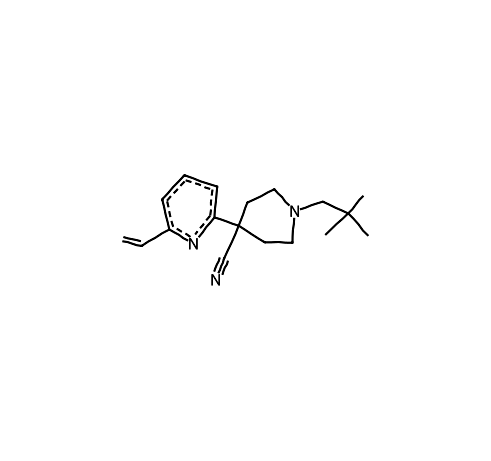 C=Cc1cccc(C2(C#N)CCN(CC(C)(C)C)CC2)n1